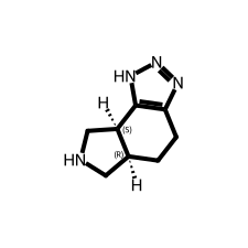 C1C[C@H]2CNC[C@H]2c2[nH]nnc21